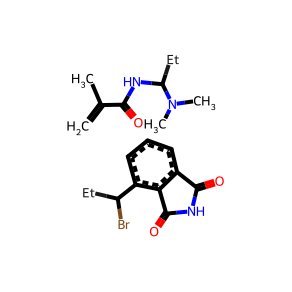 C=C(C)C(=O)NC(CC)N(C)C.CCC(Br)c1cccc2c1C(=O)NC2=O